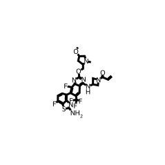 C=CC(=O)N1CC(Nc2nc(OCC3CC(OC)CN3C)nc3c(F)c(-c4ccc(F)c5sc(N)nc45)c(C(F)(F)F)cc23)C1